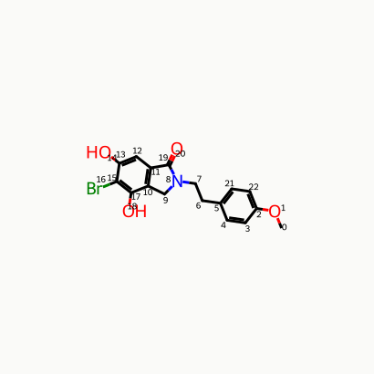 COc1ccc(CCN2Cc3c(cc(O)c(Br)c3O)C2=O)cc1